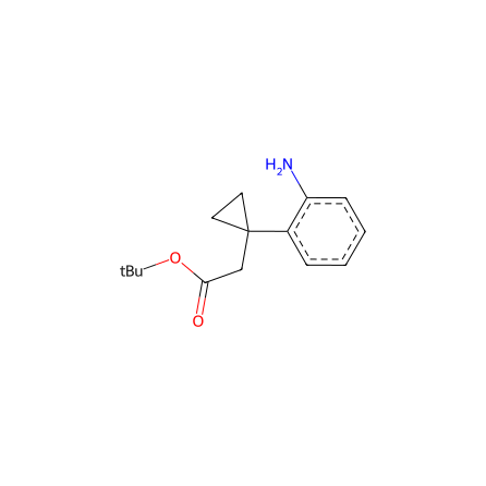 CC(C)(C)OC(=O)CC1(c2ccccc2N)CC1